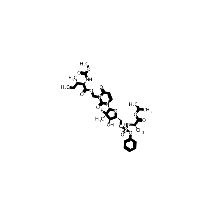 CC[C@H](C)[C@H](NC(=O)OC)C(=O)OCn1c(=O)ccn([C@@H]2O[C@H](COP(=O)(N[C@@H](C)C(=O)OC(C)C)Oc3ccccc3)[C@@H](O)[C@@]2(C)F)c1=O